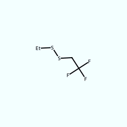 CCSSCC(F)(F)F